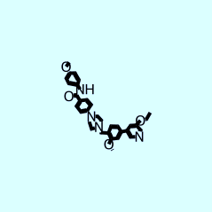 CCOc1cncc(-c2ccc(CN3CCN(c4ccc(C(=O)Nc5ccc(OC)cc5)cc4)CC3)c(OC)c2)c1